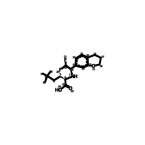 CC(C)(C)CC[C@H](N[C@H](c1ccc2c(c1)OCCC2)C(F)F)C(=O)O